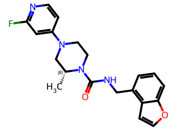 C[C@@H]1CN(c2ccnc(F)c2)CCN1C(=O)NCc1cccc2occc12